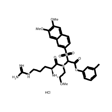 COCCN(C(=O)[C@@H](N)CCCNC(=N)N)C(C(=O)Oc1cccc(C)c1)S(=O)(=O)c1ccc2cc(OC)c(OC)cc2c1.Cl